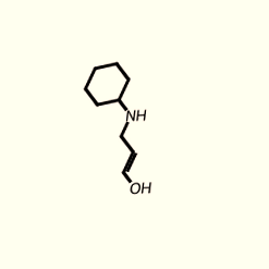 OC=CCNC1CCCCC1